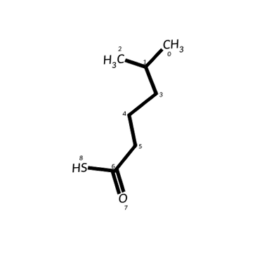 CC(C)CCCC(=O)S